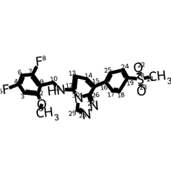 COc1cc(F)cc(F)c1CNc1ccc(-c2ccc(S(C)(=O)=O)cc2)c2nncn12